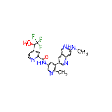 CNc1cc2ncc(-c3cc(NC(=O)c4cc([C@@H](O)C(F)(F)F)ccn4)cnc3C)cc2cn1